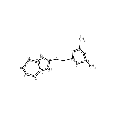 Cc1cc(N)nc(CCc2nc3cccnc3[nH]2)c1